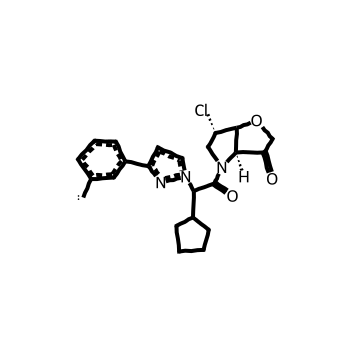 [CH]c1cccc(-c2ccn(C(C(=O)N3C[C@H](Cl)C4OCC(=O)[C@H]43)C3CCCC3)n2)c1